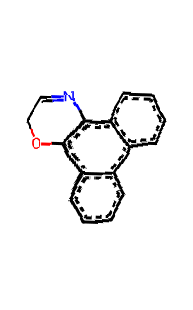 C1=Nc2c(c3ccccc3c3ccccc23)OC1